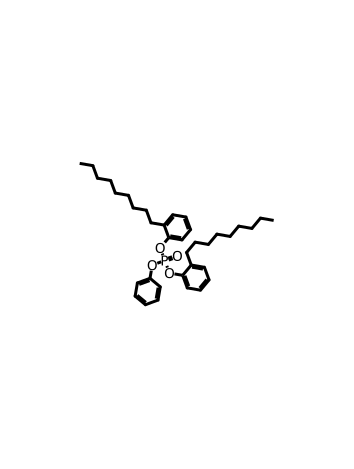 CCCCCCCCCc1ccccc1OP(=O)(Oc1ccccc1)Oc1ccccc1CCCCCCCCC